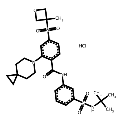 CC(C)(C)NS(=O)(=O)c1cccc(NC(=O)c2ccc(S(=O)(=O)C3(C)COC3)cc2N2CCC3(CC2)CC3)c1.Cl